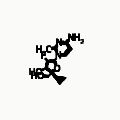 CC1N=C(N)C=CN1[C@@H]1O[C@@](CO)(C2CC2)[C@@H](O)[C@H]1F